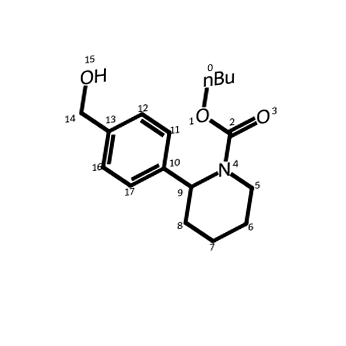 CCCCOC(=O)N1CCCCC1c1ccc(CO)cc1